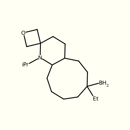 BC1(CC)CCCCC2C(CC1)CCC1(COC1)N2C(C)C